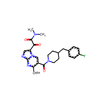 COc1nc2ncc(C(=O)C(=O)N(C)C)n2cc1C(=O)N1CCC(Cc2ccc(F)cc2)CC1